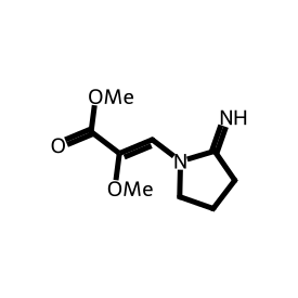 COC(=O)/C(=C/N1CCCC1=N)OC